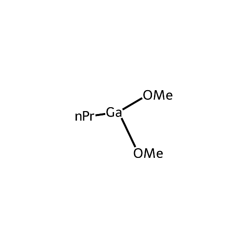 CC[CH2][Ga]([O]C)[O]C